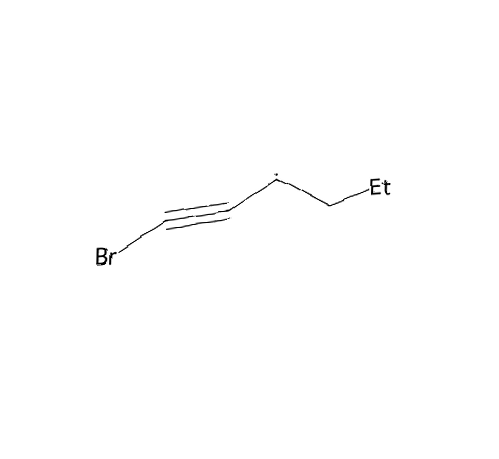 CCC[CH]C#CBr